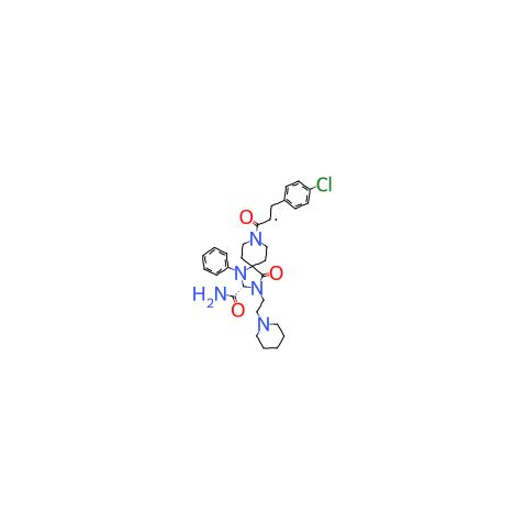 NC(=O)[C@H]1N(CCN2CCCCC2)C(=O)C2(CCN(C(=O)[CH]Cc3ccc(Cl)cc3)CC2)N1c1ccccc1